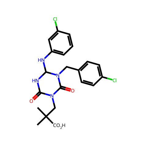 CC(C)(CN1C(=O)NC(Nc2cccc(Cl)c2)N(Cc2ccc(Cl)cc2)C1=O)C(=O)O